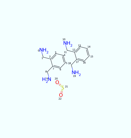 NCc1ccccc1CN.NCc1ccccc1CN.O=S=O